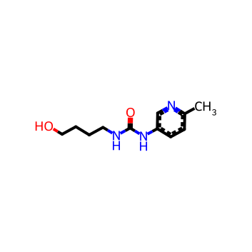 Cc1ccc(NC(=O)NCCCCO)cn1